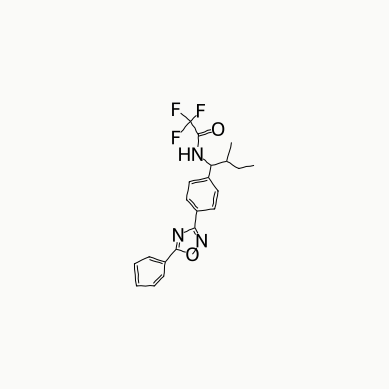 CCC(C)C(NC(=O)C(F)(F)F)c1ccc(-c2noc(-c3ccccc3)n2)cc1